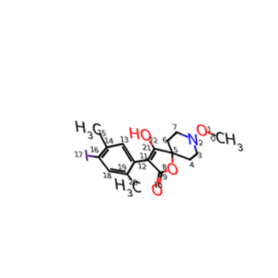 CON1CCC2(CC1)OC(=O)C(c1cc(C)c(I)cc1C)=C2O